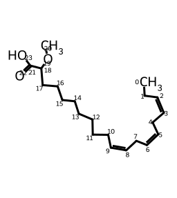 CC/C=C\C/C=C\C/C=C\CCCCCCCCC(OC)C(=O)O